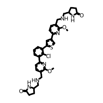 COc1nc(-c2csc(-c3cccc(-c4ccc(CNCC5CCC(=O)N5)c(OC)n4)c3Cl)c2)ccc1CNCC1CCC(=O)N1